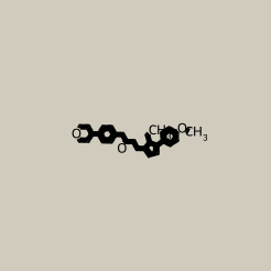 CCC1C(CCC(=O)Cc2ccc(C3CCOCC3)cc2)=CC=C1c1ccc(OC)cc1